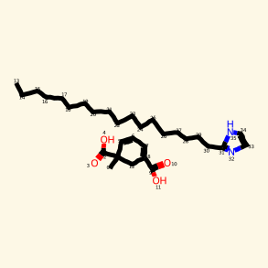 CC1(C(=O)O)C=CC=C(C(=O)O)C1.CCCCCCCCCCCCCCCCCCc1ncc[nH]1